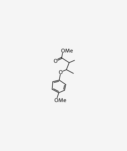 COC(=O)C(C)C(C)Oc1ccc(OC)cc1